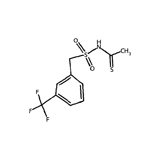 CC(=S)NS(=O)(=O)Cc1cccc(C(F)(F)F)c1